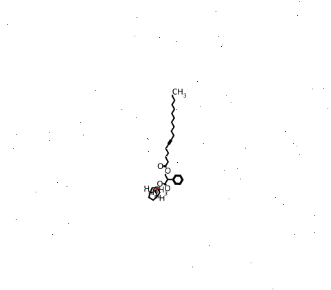 CCCCCCCCCCCC#CCCCCC(=O)OCC(C(=O)O[C@H]1C[C@H]2CC[C@@H](C1)N2C)c1ccccc1